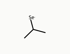 CC(C)[Se]